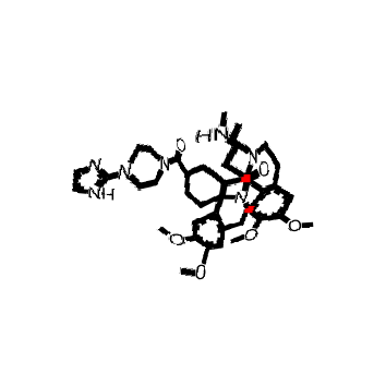 CCN1CCc2cc(OC)c(OC)cc2C1C1CC(C(=O)N2CCN(c3ncc[nH]3)CC2)CCC12c1cc(OC)c(OC)cc1CCN2C(=O)CCNC